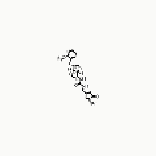 Cc1ncccc1O[C@H]1CO[C@H]2[C@@H]1OC[C@@H]2NC(=O)NCC1CC(=O)N(C(C)C)C1